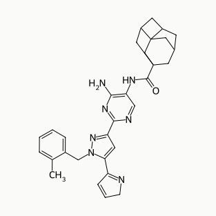 Cc1ccccc1Cn1nc(-c2ncc(NC(=O)C34CC5CC6CC(C3)C6(C5)C4)c(N)n2)cc1C1=NCC=C1